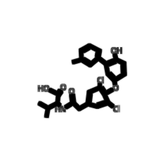 Cc1cccc(-c2cc(Oc3c(Cl)cc(CC(=O)NC(C(=O)O)C(C)C)cc3Cl)ccc2O)c1